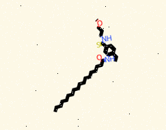 CCCCCCCCCCCCCCCCCC(=O)Nc1cc(C(=S)NCCCOC)ccc1CC